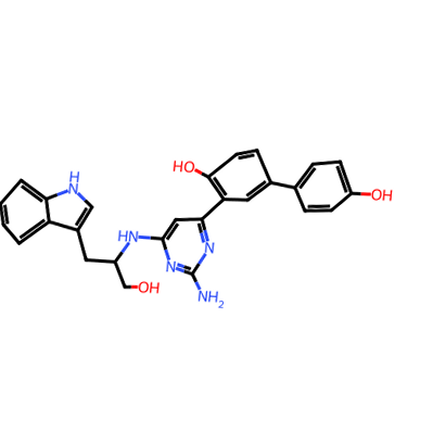 Nc1nc(NC(CO)Cc2c[nH]c3ccccc23)cc(-c2cc(-c3ccc(O)cc3)ccc2O)n1